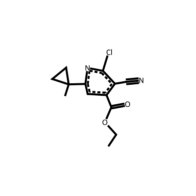 CCOC(=O)c1cc(C2(C)CC2)nc(Cl)c1C#N